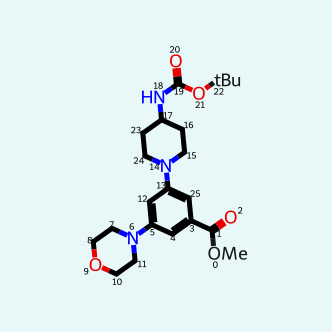 COC(=O)c1cc(N2CCOCC2)cc(N2CCC(NC(=O)OC(C)(C)C)CC2)c1